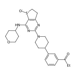 CCC(=O)c1cccc(C2CCN(c3nc4c(c(NC5CCOCC5)n3)[S+]([O-])CC4)CC2)c1